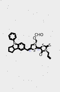 C=CCN1C(=O)/C(=C2\S/C(=C/c3ccc4c(c3)C3CCCC3N4c3ccccc3)CN2COC=O)SC1=S